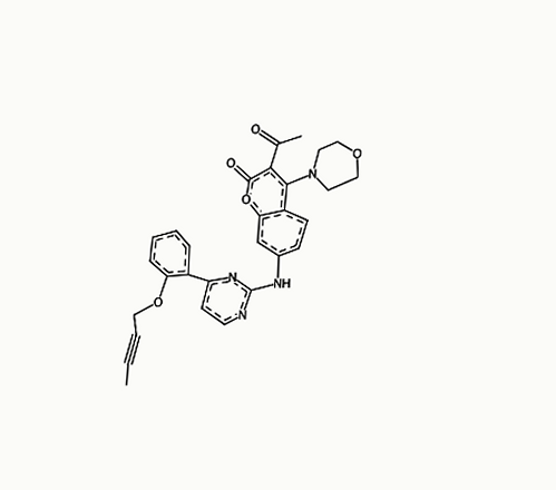 CC#CCOc1ccccc1-c1ccnc(Nc2ccc3c(N4CCOCC4)c(C(C)=O)c(=O)oc3c2)n1